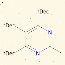 CCCCCCCCCCc1nc(C)nc(CCCCCCCCCC)c1CCCCCCCCCC